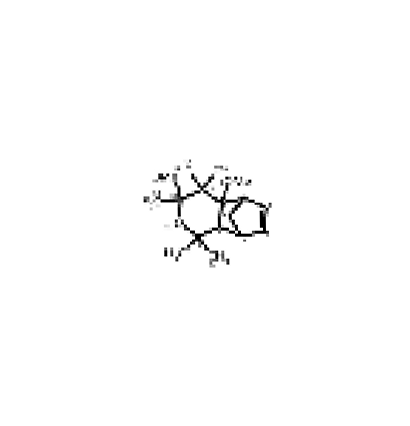 COC12C3C=CC(C3)C1C(C)(C)OC(OC)(C(F)(F)F)C2(F)F